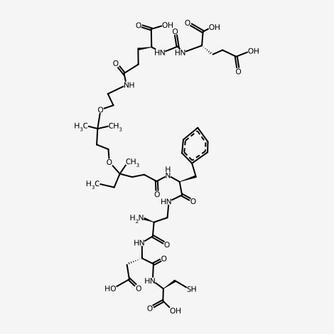 CCC(C)(CCC(=O)N[C@@H](Cc1ccccc1)C(=O)NC[C@H](N)C(=O)N[C@@H](CC(=O)O)C(=O)N[C@@H](CS)C(=O)O)OCCC(C)(C)OCCNC(=O)CC[C@H](NC(=O)N[C@@H](CCC(=O)O)C(=O)O)C(=O)O